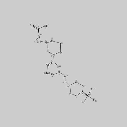 O=C(O)[C@@H]1C[C@H]1[C@H]1CN(c2cncc(OC[C@H]3CC[C@H](C(F)(F)F)CC3)c2)CCO1